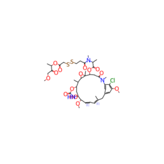 COCC(=O)C(C)OC(=O)CSSCCC(=O)N(C)C(C)C(=O)OC1CC(=O)N(C)c2cc(cc(OC)c2Cl)C/C(C)=C/C=C/C(OC)C2(O)CC(OC(=O)N2)C(C)C2OC12C